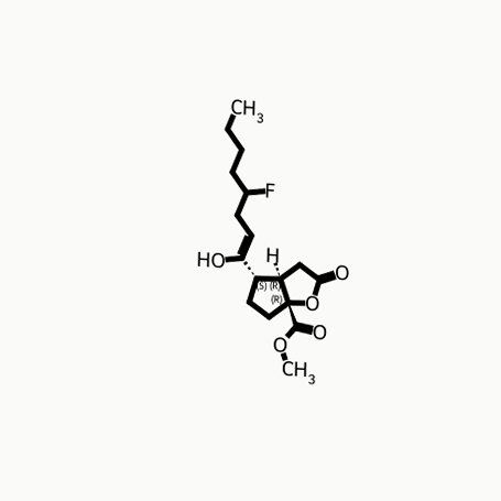 CCCCC(F)CC=C(O)[C@H]1CC[C@@]2(C(=O)OC)OC(=O)C[C@H]12